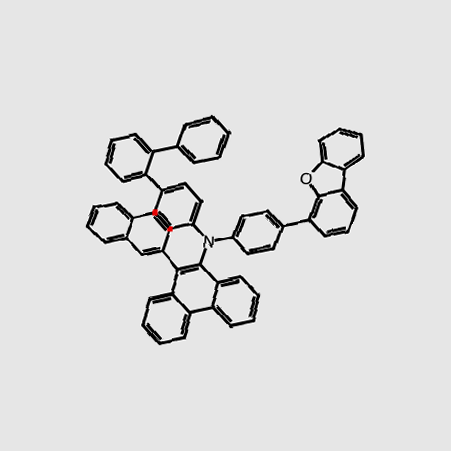 c1ccc(-c2ccccc2-c2ccc(N(c3ccc(-c4cccc5c4oc4ccccc45)cc3)c3c(-c4ccc5ccccc5c4)c4ccccc4c4ccccc34)cc2)cc1